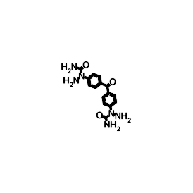 NC(=O)N(N)c1ccc(C(=O)c2ccc(N(N)C(N)=O)cc2)cc1